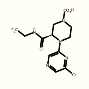 O=C(NCC(F)(F)F)[C@H]1CN(C(=O)O)CCN1c1cncc(Cl)n1